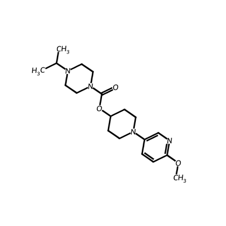 COc1ccc(N2CCC(OC(=O)N3CCN(C(C)C)CC3)CC2)cn1